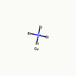 CC[N+](CC)(CC)CC.[Cu]